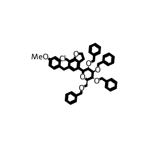 COc1ccc(Cc2cc(C3O[C@H](COCc4ccccc4)[C@@H](OCc4ccccc4)[C@H](OCc4ccccc4)[C@H]3OCc3ccccc3)c3c(c2Cl)OCC3)cc1